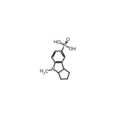 CN1c2ccc(P(=O)(O)O)cc2C2CCCC21